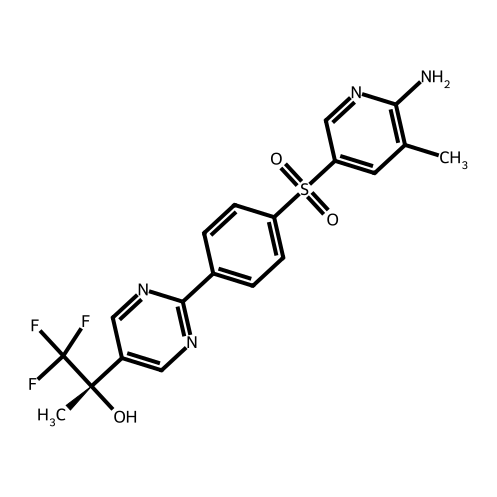 Cc1cc(S(=O)(=O)c2ccc(-c3ncc([C@](C)(O)C(F)(F)F)cn3)cc2)cnc1N